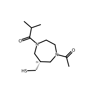 CC(=O)N1CCN(C(=O)C(C)C)C[C@@H](CS)C1